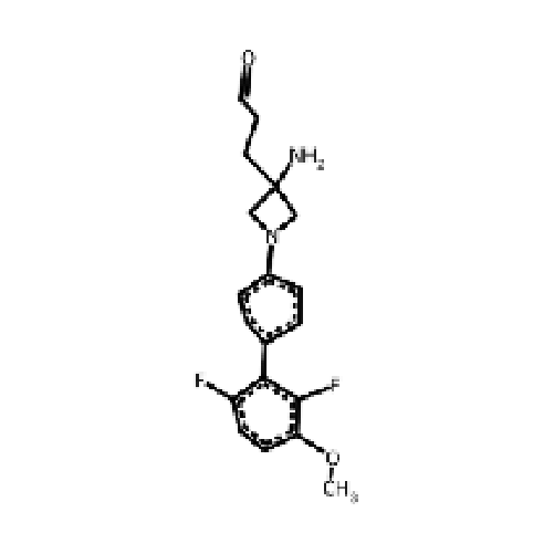 COc1ccc(F)c(-c2ccc(N3CC(N)(CCC=O)C3)cc2)c1F